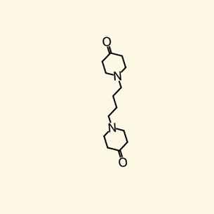 O=C1CCN(CCCCN2CCC(=O)CC2)CC1